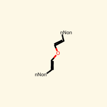 CCCCCCCCCC=COC=CCCCCCCCCC